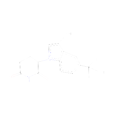 Cc1cn(C2CCC(=O)NC2=O)c2ccc(C(C)(C)C)cc12